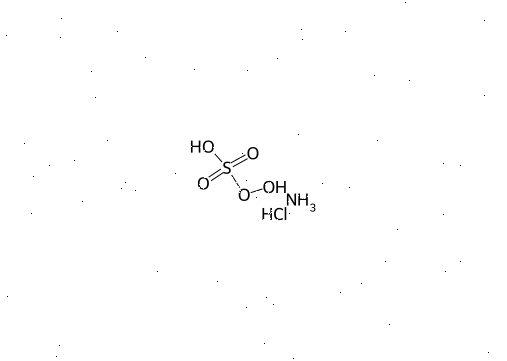 Cl.N.O=S(=O)(O)OO